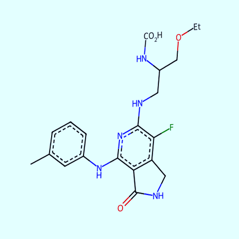 CCOCC(CNc1nc(Nc2cccc(C)c2)c2c(c1F)CNC2=O)NC(=O)O